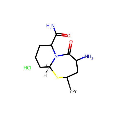 CCCC1CC(N)C(=O)N2C(C(N)=O)CCC[C@@H]2S1.Cl